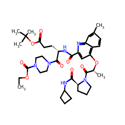 CCOC(=O)N1CCN(C(=O)[C@H](CCC(=O)OC(C)(C)C)NC(=O)c2cc(O[C@H](C)C(=O)N3CCC[C@H]3C(=O)NC3CCC3)c3ccc(C)cc3n2)CC1